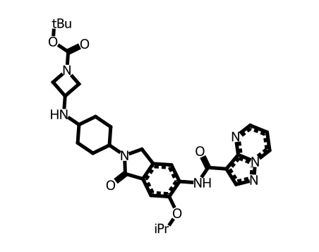 CC(C)Oc1cc2c(cc1NC(=O)c1cnn3cccnc13)CN(C1CCC(NC3CN(C(=O)OC(C)(C)C)C3)CC1)C2=O